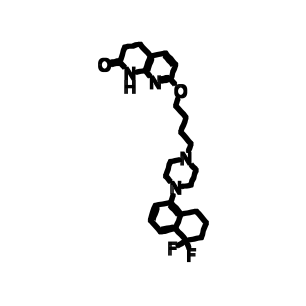 O=C1CCc2ccc(OCCCCN3CCN(c4cccc5c4CCCC5(F)F)CC3)nc2N1